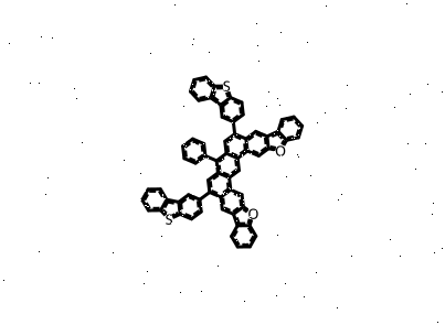 c1ccc(-c2c3cc(-c4ccc5sc6ccccc6c5c4)c4cc5c(cc4c3cc3c2cc(-c2ccc4sc6ccccc6c4c2)c2cc4c(cc23)oc2ccccc24)oc2ccccc25)cc1